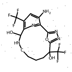 Nc1cc(C(F)(F)F)c2nc1-c1nnc(o1)C(O)(C(F)(F)F)CCCCNC2O